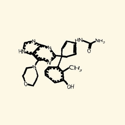 Cc1c(O)cccc1C1(c2nc(N3CCOCC3)c3[nH]cnc3n2)C=CC(NC(N)=O)=CC1